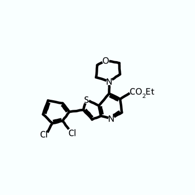 CCOC(=O)c1cnc2cc(-c3cccc(Cl)c3Cl)sc2c1N1CCOCC1